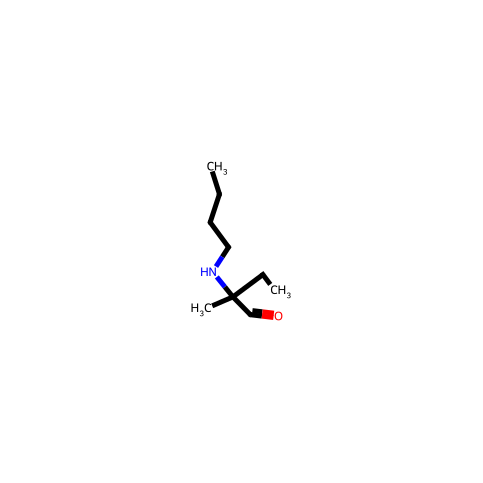 CCCCNC(C)(C=O)CC